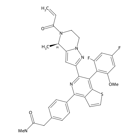 C=CC(=O)N1CCn2nc(-c3nc(-c4ccc(CC(=O)NC)cc4)c4ccsc4c3-c3c(F)cc(F)cc3OC)cc2[C@H]1C